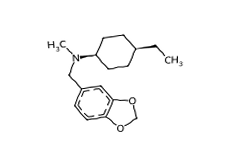 CC[C@H]1CC[C@@H](N(C)Cc2ccc3c(c2)OCO3)CC1